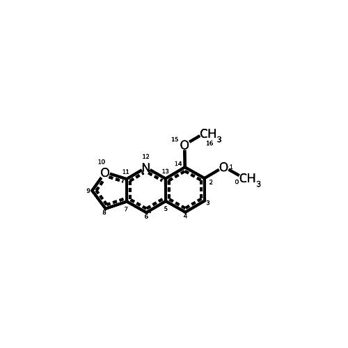 COc1ccc2[c]c3ccoc3nc2c1OC